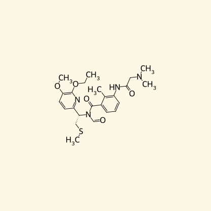 CCOc1nc([C@@H](CSC)N(C=O)C(=O)c2cccc(NC(=O)CN(C)C)c2C)ccc1OC